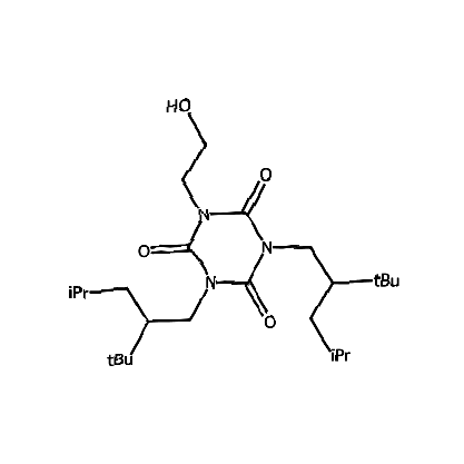 CC(C)CC(Cn1c(=O)n(CCO)c(=O)n(CC(CC(C)C)C(C)(C)C)c1=O)C(C)(C)C